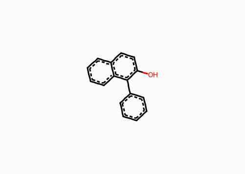 Oc1ccc2ccccc2c1-c1ccccc1